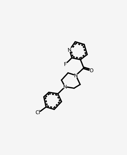 O=C(c1cccnc1F)N1CCN(c2ccc(Cl)cc2)CC1